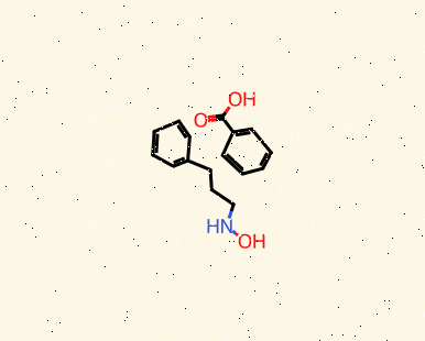 O=C(O)c1ccccc1.ONCCCc1ccccc1